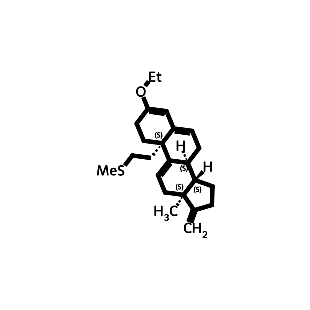 C=C1CC[C@H]2[C@@H]3CC=C4C=C(OCC)CC[C@]4(CCSC)C3=CC[C@]12C